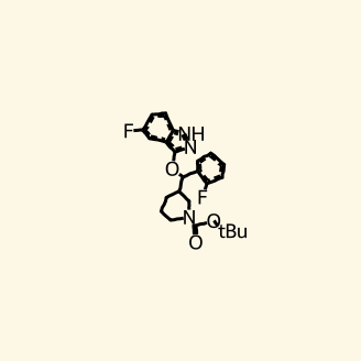 CC(C)(C)OC(=O)N1CCCC(C(Oc2n[nH]c3ccc(F)cc23)c2ccccc2F)C1